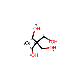 OCC(CO)(CO)CO.[Ce]